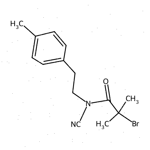 Cc1ccc(CCN(C#N)C(=O)C(C)(C)Br)cc1